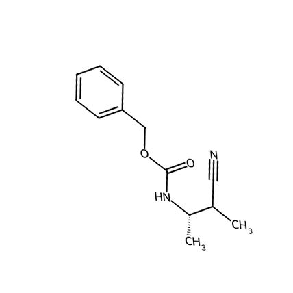 CC(C#N)[C@H](C)NC(=O)OCc1ccccc1